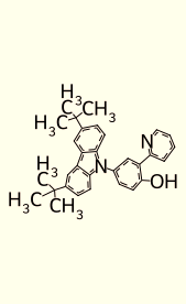 CC(C)(C)c1ccc2c(c1)c1cc(C(C)(C)C)ccc1n2-c1ccc(O)c(-c2ccccn2)c1